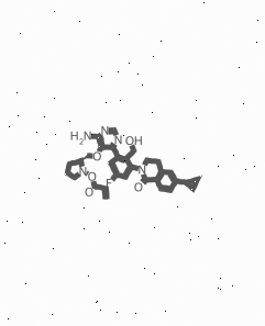 C=CC(=O)ON1CCC[C@H]1COc1c(N)ncnc1-c1cc(F)cc(N2CCc3cc(C4CC4)ccc3C2=O)c1CO